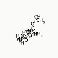 CC(=O)c1ccc(N2[C@@H]3CC[C@H]2C[C@@H](NC(=O)c2ccc(C(N)=O)c(Nc4cccc(OCCN(C)C)c4)c2)C3)nc1